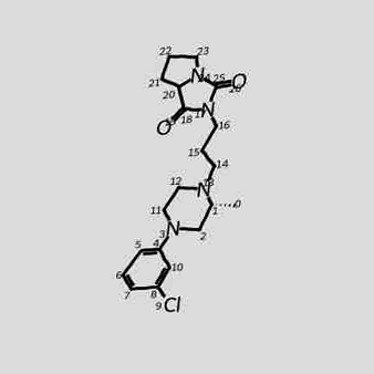 C[C@@H]1CN(c2cccc(Cl)c2)CCN1CCCN1C(=O)C2CCCN2C1=O